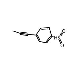 CC#Cc1ccc([SH](=O)=O)cc1